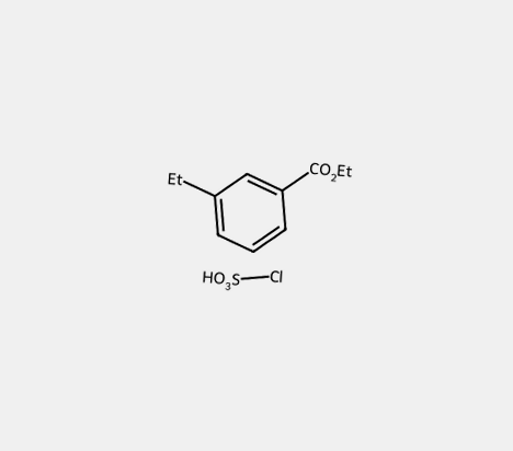 CCOC(=O)c1cccc(CC)c1.O=S(=O)(O)Cl